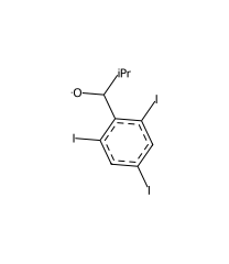 CC(C)C([O])c1c(I)cc(I)cc1I